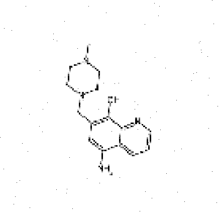 CN1CCN(Cc2cc(N)c3cccnc3c2O)CC1